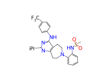 CC(C)c1nc2c(c(Nc3ccc(C(F)(F)F)cc3)n1)CCN(c1ccccc1NS(C)(=O)=O)CC2